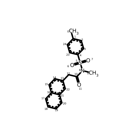 Cc1ccc(S(=O)(=O)N(C)C(=O)Cc2ccc3ccccc3c2)cc1